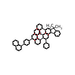 CC1(C)c2ccccc2-c2ccc(-c3ccccc3N(c3ccc(-c4ccc(-c5cccc6ccccc56)cc4)cc3)c3cccc(-c4ccccc4)c3-c3ccccc3-c3ccccc3)cc21